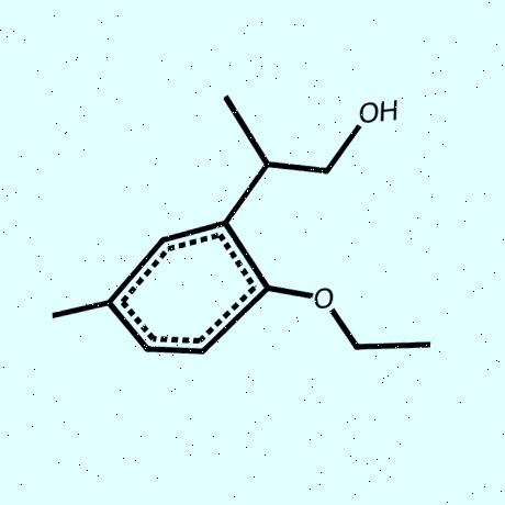 CCOc1ccc(C)cc1[C](C)CO